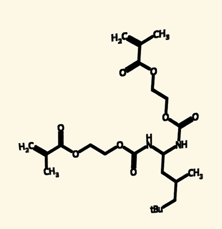 C=C(C)C(=O)OCCOC(=O)NC(CC(C)CC(C)(C)C)NC(=O)OCCOC(=O)C(=C)C